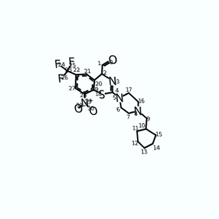 O=CC1N=C(N2CCN(CC3CCCCC3)CC2)Sc2c1cc(C(F)(F)F)cc2[N+](=O)[O-]